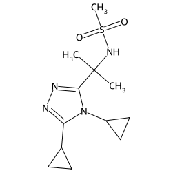 CC(C)(NS(C)(=O)=O)c1nnc(C2CC2)n1C1CC1